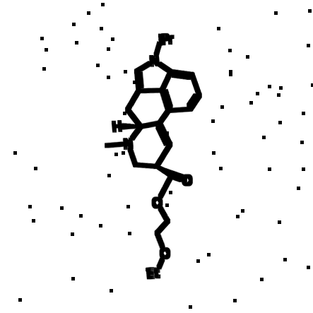 CCOCCOC(=O)[C@@H]1C=C2c3cccc4c3c(cn4C(C)C)C[C@H]2N(C)C1